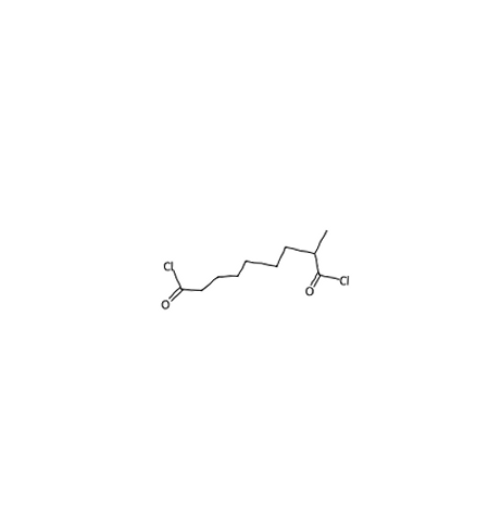 CC(CCCCCCC(=O)Cl)C(=O)Cl